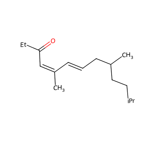 CCC(=O)C=C(C)C=CCC(C)CCC(C)C